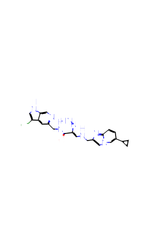 N=N/C(=C\NCc1cn2cc(C3CC3)ccc2n1)C(=O)NCc1cc2c(Cl)c[nH]c2cn1